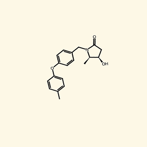 Cc1ccc(Oc2ccc(CN3C(=O)C[C@@H](O)[C@H]3C)cc2)cc1